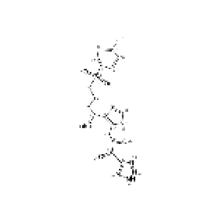 CCCCC(CCCS(=O)(=O)c1ccc(Cl)cc1)c1cc[nH]c1CC(=O)C(=O)c1nn[nH]n1